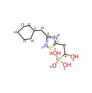 O=P(O)(O)C(O)Cc1nc(CC2CCCCC2)ns1